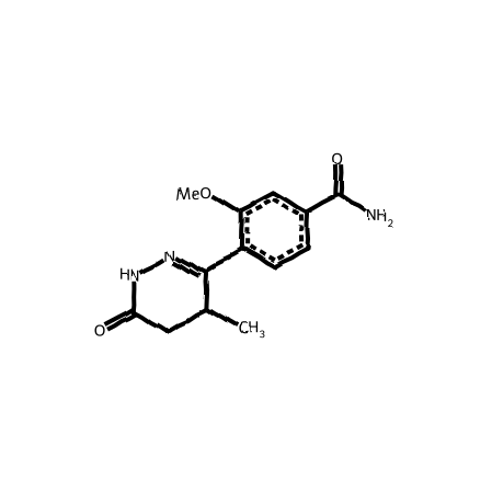 COc1cc(C(N)=O)ccc1C1=NNC(=O)CC1C